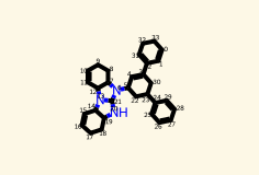 C1=CC(C2=CC(N3C4CCC=CC4N4C5C=CCCC5NC43)CC(c3ccccc3)C2)=CCC1